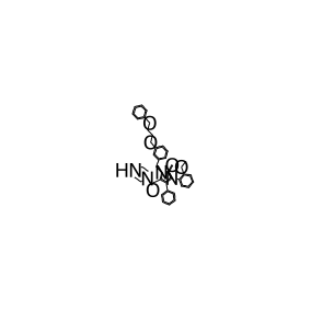 COc1ccccc1-n1c(-c2ccccc2)c(C(=O)N2CCNCC2)n(Cc2cccc(OCCOc3ccccc3)c2)c1=O